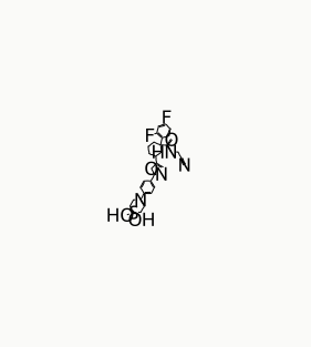 N#CCNC(=O)[C@]1(c2ccc(F)cc2F)CCCC(c2cnc(-c3ccc(N4CCS(O)(O)CC4)cc3)o2)C1